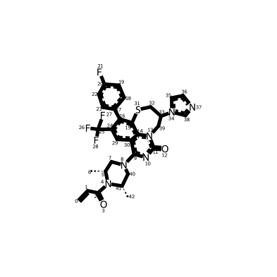 C=CC(=O)N1[C@H](C)CN(c2nc(=O)n3c4c(c(-c5ccc(F)cc5)c(C(F)(F)F)cc24)SCC(n2ccnc2)C3)C[C@@H]1C